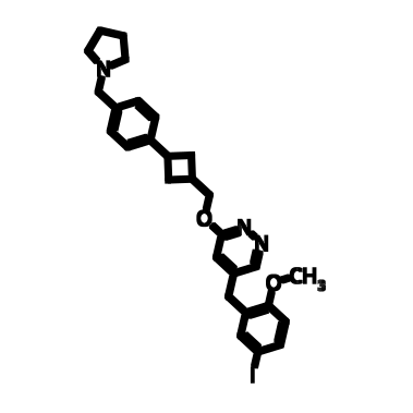 COc1ccc(I)cc1Cc1cnnc(OCC2CC(c3ccc(CN4CCCC4)cc3)C2)c1